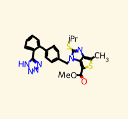 COC(=O)c1sc(C)c2nc(SC(C)C)n(Cc3ccc(-c4ccccc4-c4nnn[nH]4)cc3)c12